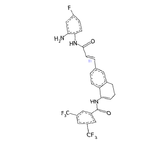 Nc1cc(F)ccc1NC(=O)/C=C/c1ccc2c(c1)CCC=C2NC(=O)c1cc(C(F)(F)F)cc(C(F)(F)F)c1